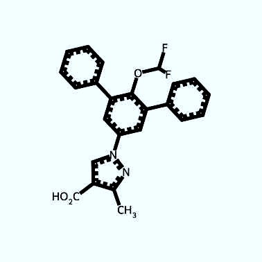 Cc1nn(-c2cc(-c3ccccc3)c(OC(F)F)c(-c3ccccc3)c2)cc1C(=O)O